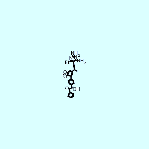 CCc1nc(N)nc(N)c1C#CC(C)c1cc2c(c(-c3ccc([C@@H](O)C(=O)c4ccccc4)cc3)c1)OCO2